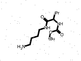 CC(C)C(NC(=O)OC(C)(C)C)C(=O)NCCCCN